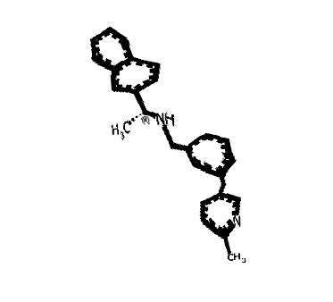 Cc1ccc(-c2cccc(CN[C@H](C)c3ccc4ccccc4c3)c2)cn1